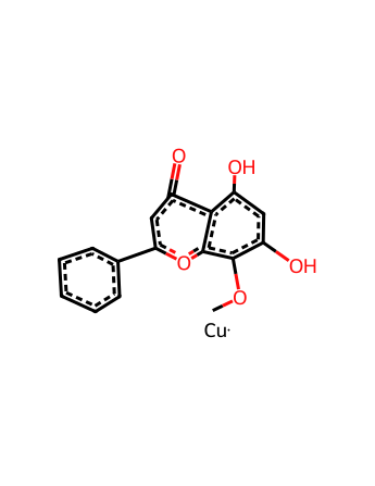 COc1c(O)cc(O)c2c(=O)cc(-c3ccccc3)oc12.[Cu]